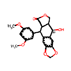 COc1cc(OC)cc(C2c3cc4c(cc3[C@H](O)C3COC(=O)C23)OCO4)c1